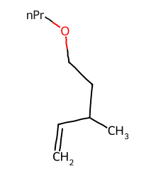 [CH2]CCOCCC(C)C=C